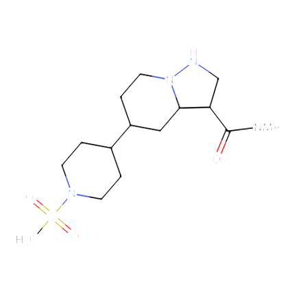 CNC(=O)C1CNN2CCC(C3CCN(S(C)(=O)=O)CC3)CC12